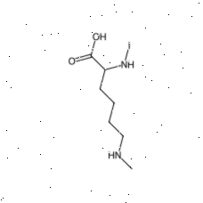 CNCCCCC(NI)C(=O)O